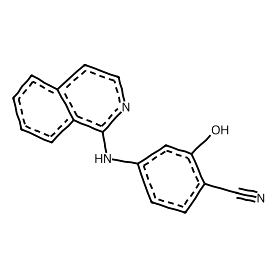 N#Cc1ccc(Nc2nccc3ccccc23)cc1O